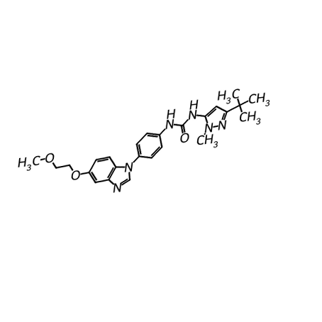 COCCOc1ccc2c(c1)ncn2-c1ccc(NC(=O)Nc2cc(C(C)(C)C)nn2C)cc1